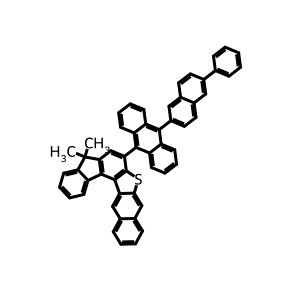 CC1(C)c2ccccc2-c2c1cc(-c1c3ccccc3c(-c3ccc4cc(-c5ccccc5)ccc4c3)c3ccccc13)c1sc3cc4ccccc4cc3c21